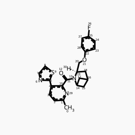 Cc1ccc(-c2nccs2)c(C(=O)N2C3CC(C3)C[C@@H]2COc2ccc(F)cc2)n1